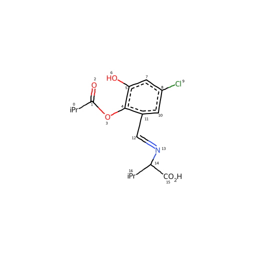 CC(C)C(=O)Oc1c(O)cc(Cl)cc1C=NC(C(=O)O)C(C)C